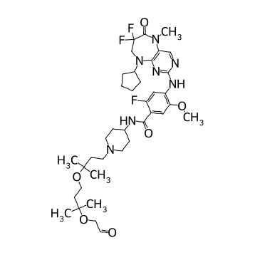 COc1cc(C(=O)NC2CCN(CCC(C)(C)OCCC(C)(C)OCC=O)CC2)c(F)cc1Nc1ncc2c(n1)N(C1CCCC1)CC(F)(F)C(=O)N2C